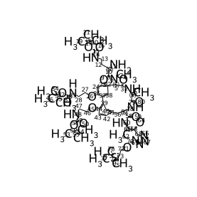 C[C@@H]1NC(=O)[C@@H](N(C)C(=O)[C@@H](N)CCNC(=O)OC(C)(C)C)c2ccc(OCCNC(=O)OC(C)(C)C)c(c2)-c2cc(ccc2OCCNC(=O)OC(C)(C)C)C[C@@H](C(=O)N[C@@H](C)C(=O)c2nnnn2COCC[Si](C)(C)C)NC1=O